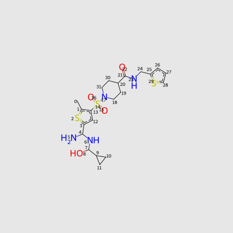 Cc1sc(C(N)NC(O)C2CC2)cc1S(=O)(=O)N1CCC(C(=O)NCc2cccs2)CC1